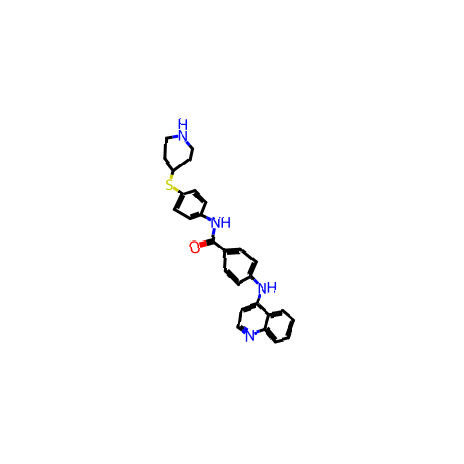 O=C(Nc1ccc(SC2CCNCC2)cc1)c1ccc(Nc2ccnc3ccccc23)cc1